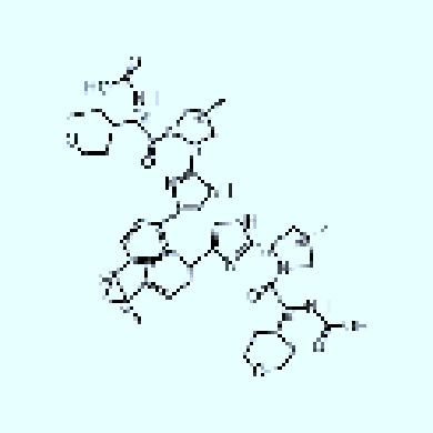 C[C@H]1C[C@@H](c2nc(-c3ccc([C@]4(C)C[C@@]4(C)c4ccc(-c5c[nH]c([C@@H]6C[C@H](C)CN6C(=O)[C@@H](NC(=O)O)C6CCOCC6)n5)cc4)cc3)c[nH]2)N(C(=O)[C@@H](NC(=O)O)C2CCOCC2)C1